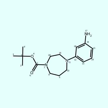 CC(C)(C)OC(=O)N1CCCN(c2cccc(N)c2)CC1